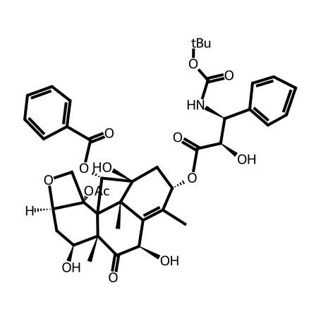 CC(=O)O[C@@]12CO[C@@H]1C[C@H](O)[C@@]1(C)C(=O)[C@H](O)C3=C(C)[C@@H](OC(=O)[C@H](O)[C@@H](NC(=O)OC(C)(C)C)c4ccccc4)C[C@@]4(O)[C@@H](OC(=O)c5ccccc5)C21[C@@]34C